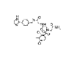 Cc1c(Cl)ccc(S(=O)(=O)N(CC(N)=O)CC(=O)NCC(=O)N(C)Cc2ccc(C3=NCCN3)cc2)c1Cl